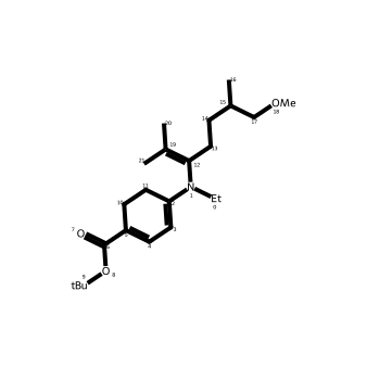 CCN(C1=CC=C(C(=O)OC(C)(C)C)CC1)C(CCC(C)COC)=C(C)C